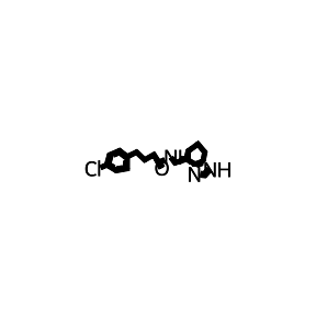 O=C(CCCc1ccc(Cl)cc1)NCC1CCCc2[nH]cnc21